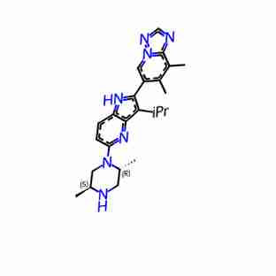 Cc1c(-c2[nH]c3ccc(N4C[C@H](C)NC[C@H]4C)nc3c2C(C)C)cn2ncnc2c1C